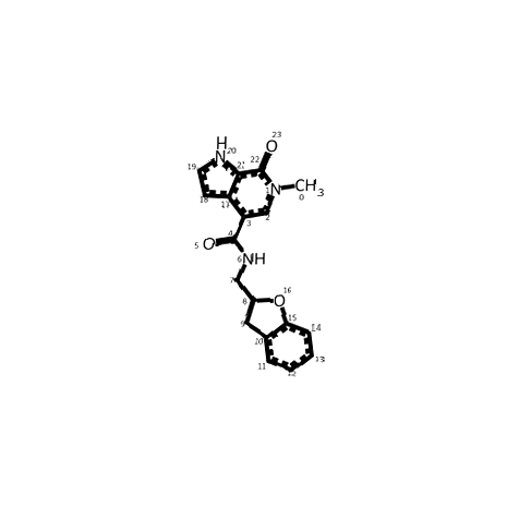 Cn1cc(C(=O)NCC2Cc3ccccc3O2)c2cc[nH]c2c1=O